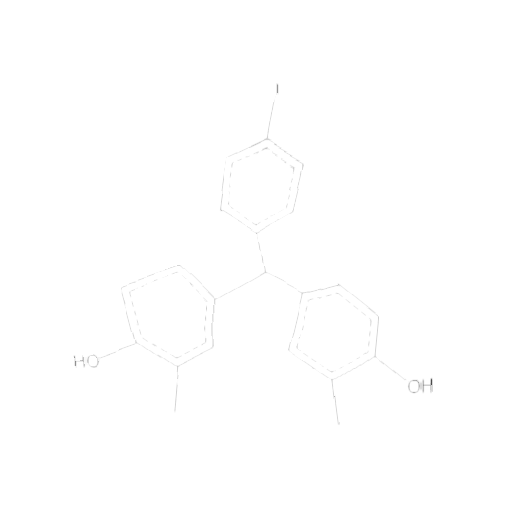 Cc1cc(C(c2ccc(I)cc2)c2ccc(O)c(C)c2)ccc1O